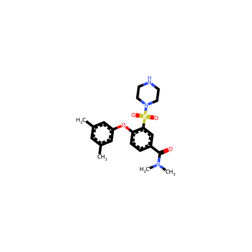 Cc1cc(C)cc(Oc2ccc(C(=O)N(C)C)cc2S(=O)(=O)N2CCNCC2)c1